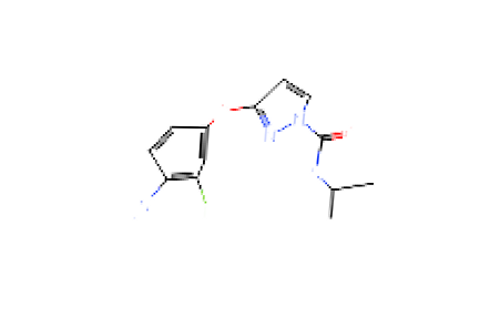 CC(C)NC(=O)n1ccc(Oc2ccc(N)c(F)c2)n1